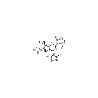 Cc1n[nH]c(C)c1-c1cc(-c2c(C)noc2C)cc2c1nc(C1CCC1)n2N